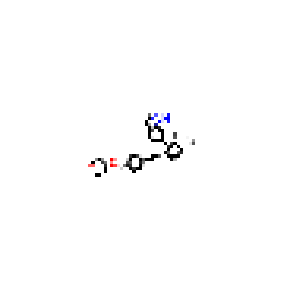 O=C(O)c1cccc(C#Cc2ccc(COC3CCOCC3)cc2)c1-c1ccc2cc[nH]c2c1